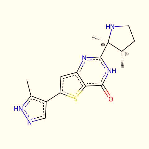 Cc1[nH]ncc1-c1cc2nc([C@@]3(C)NCC[C@@H]3C)[nH]c(=O)c2s1